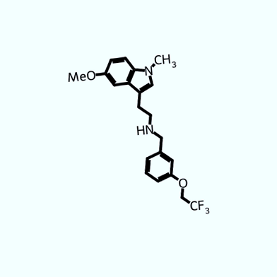 COc1ccc2c(c1)c(CCNCc1cccc(OCC(F)(F)F)c1)cn2C